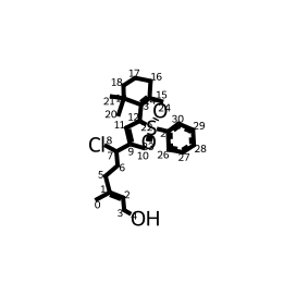 CC(=CCO)CCC(Cl)C(C)=CC(C1=C(C)CCCC1(C)C)S(=O)(=O)c1ccccc1